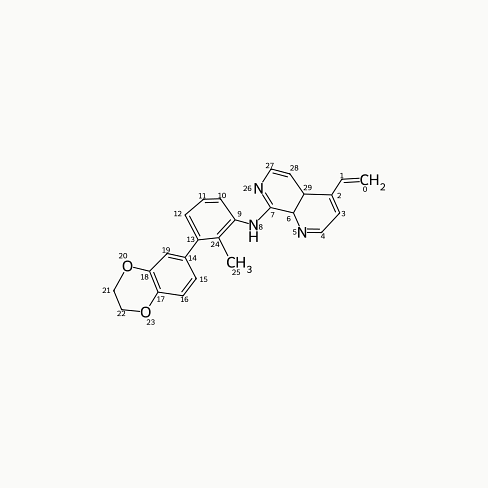 C=CC1=CC=NC2C(Nc3cccc(-c4ccc5c(c4)OCCO5)c3C)=NC=CC12